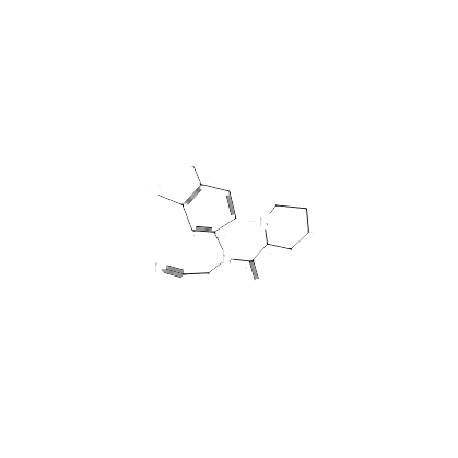 N#CCN(C(=O)C1CCCCN1)c1ccc(Cl)c(Br)c1